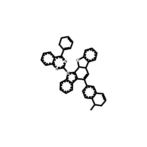 CC1CC=Cc2cc(C3=CC4c5ccccc5OC4c4c3c3ccccc3n4-c3nc(C4=CC=CCC4)c4ccccc4n3)ccc21